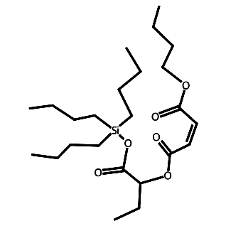 CCCCOC(=O)/C=C\C(=O)OC(CC)C(=O)O[Si](CCCC)(CCCC)CCCC